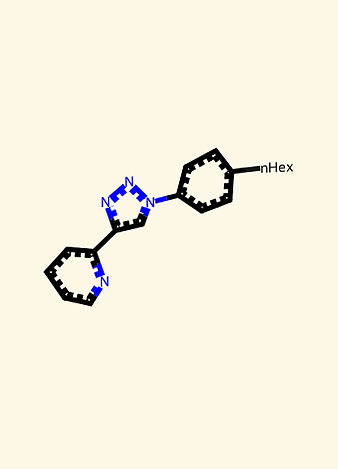 CCCCCCc1ccc(-n2cc(-c3ccccn3)nn2)cc1